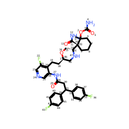 CC1(OC(N)=O)CCCC[C@]1(C(N)=O)[C@H]1CO[C@H](CCc2c(F)cncc2NC(=O)CC(c2ccc(F)cc2)c2ccc(F)cc2)CN1